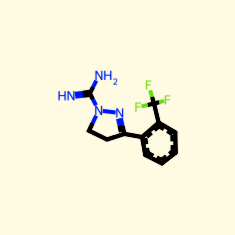 N=C(N)N1CCC(c2ccccc2C(F)(F)F)=N1